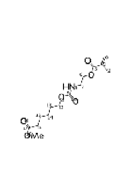 C=C(C)C(=O)OCCNC(=O)OCCCCCC(=O)OC